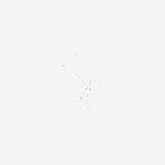 Cc1ncsc1C=CC1=C(C(=O)OC(c2ccccc2)c2ccccc2)N2C(=O)[C@@H](NC(=O)C(=NOC(c3ccccc3)(c3ccccc3)c3ccccc3)c3nc(NC(c4ccccc4)(c4ccccc4)c4ccccc4)sc3Cl)[C@H]2CC1